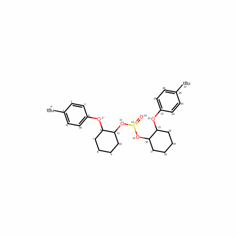 CC(C)(C)c1ccc(OC2CCCCC2OS(=O)OC2CCCCC2Oc2ccc(C(C)(C)C)cc2)cc1